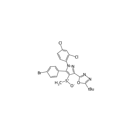 C[S+]([O-])c1c(-c2nnc(C(C)(C)C)o2)nn(-c2ccc(Cl)cc2Cl)c1-c1ccc(Br)cc1